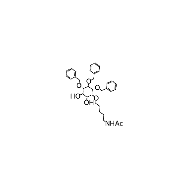 CC(=O)NCCCCCO[C@H]1[C@@H](O)[C@@H](O)[C@H](OCc2ccccc2)[C@@H](OCc2ccccc2)[C@@H]1OCc1ccccc1